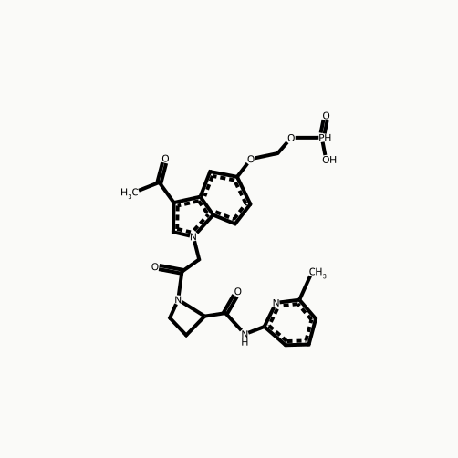 CC(=O)c1cn(CC(=O)N2CCC2C(=O)Nc2cccc(C)n2)c2ccc(OCO[PH](=O)O)cc12